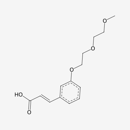 COCCOCCOc1cccc(C=CC(=O)O)c1